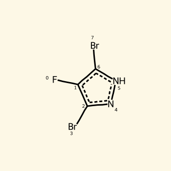 Fc1c(Br)n[nH]c1Br